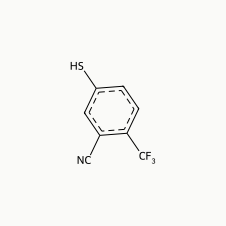 N#Cc1cc(S)ccc1C(F)(F)F